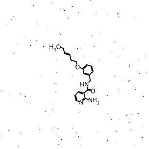 CCC=CCCOc1cccc(CNC(=O)c2cccnc2N)c1